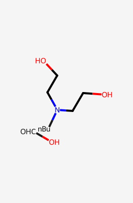 CCCCN(CCO)CCO.O=CO